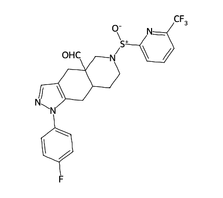 O=CC12Cc3cnn(-c4ccc(F)cc4)c3CC1CCN([S+]([O-])c1cccc(C(F)(F)F)n1)C2